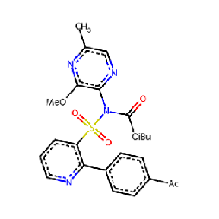 COc1nc(C)cnc1N(C(=O)OCC(C)C)S(=O)(=O)c1cccnc1-c1ccc(C(C)=O)cc1